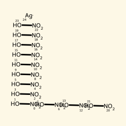 O=[N+]([O-])O.O=[N+]([O-])O.O=[N+]([O-])O.O=[N+]([O-])O.O=[N+]([O-])O.O=[N+]([O-])O.O=[N+]([O-])O.O=[N+]([O-])O.O=[N+]([O-])O.O=[N+]([O-])O.O=[N+]([O-])O.O=[N+]([O-])O.[Ag]